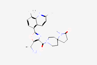 COc1ccc(-c2nc(C(=O)N3CCC4(CCC(=O)N4C)CC3)c([C@H](C)N)o2)c2ccc(C(F)(F)F)nc12